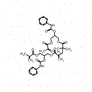 C=C(C)C(=O)OCC(COC(=O)C(=C)CC(C)(C)C(=O)OCC(COC(=O)C(=C)C)OC(=O)Nc1ccccc1)OC(=O)Nc1ccccc1